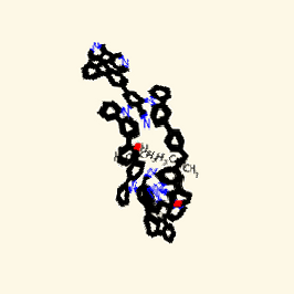 CC(C)(C)c1ccc2c(c1)c1ccccc1n2-c1cc(-c2cccc3c2[Si]2(c4ccccc4-3)c3cccnc3-c3ncccc32)cc(-n2c3ccccc3c3cc(C(C)(C)Cc4ccc(-c5ccc6c(c5)c5ccccc5n6-c5cc(-c6ccc7c(c6)-c6ccccc6C76c7ccncc7-c7cnccc76)cc(-n6c7ccccc7c7cc(-c8ccccc8)ccc76)c5C#N)cc4)ccc32)c1C#N